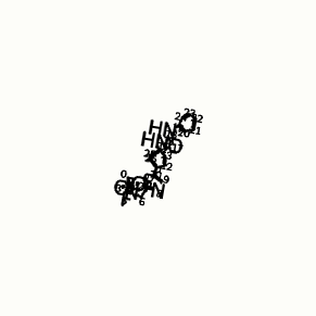 CS(=O)(=O)N(F)Cc1ncc(-c2ccc(NC(=O)Nc3ccccc3)cc2)s1